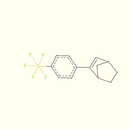 FS(F)(F)(F)(F)c1ccc(C2=CC3CCC2C3)cc1